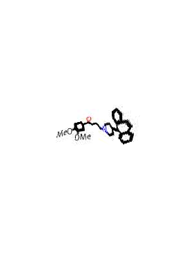 COc1ccc(C(=O)CCCN2CCC(=C3c4ccccc4CCc4ccccc43)CC2)cc1OC